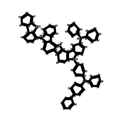 c1ccc(-c2ccc(N(c3ccccc3)c3ccc(-n4c5ccc(N(c6ccccc6)c6ccccc6)cc5c5c6oc7c(ccc8c7c7ccccc7n8-c7cccc8c7oc7ccccc78)c6ccc54)cc3)cc2)cc1